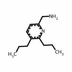 CCCc1ccc(CN)nc1CCC